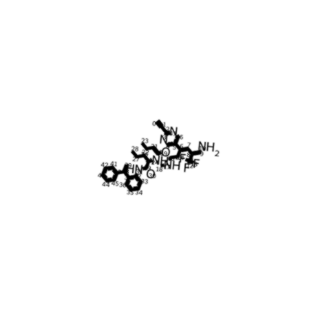 C#Cc1ncc(/C(=C/C(=C\N)C(F)(F)F)CC(NC)O/C(=C/CC)NC(CCC)C(=O)Nc2ccccc2C(=C)c2ccccc2)cn1